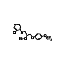 CCOC(COc1ccc(OC(F)(F)F)cc1)CSc1cc[c]cc1Cl